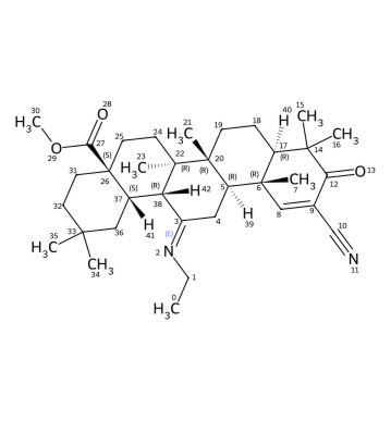 CC/N=C1\C[C@@H]2[C@@]3(C)C=C(C#N)C(=O)C(C)(C)[C@@H]3CC[C@@]2(C)[C@]2(C)CC[C@@]3(C(=O)OC)CCC(C)(C)C[C@H]3[C@@H]12